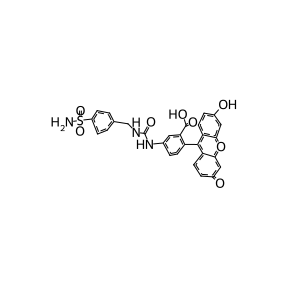 NS(=O)(=O)c1ccc(CNC(=O)Nc2ccc(-c3c4ccc(=O)cc-4oc4cc(O)ccc34)c(C(=O)O)c2)cc1